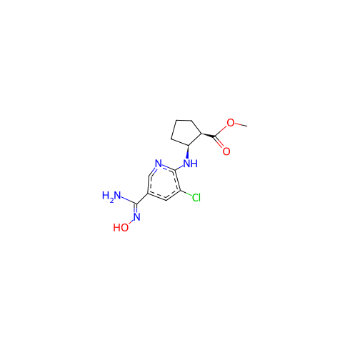 COC(=O)[C@@H]1CCC[C@@H]1Nc1ncc(C(N)=NO)cc1Cl